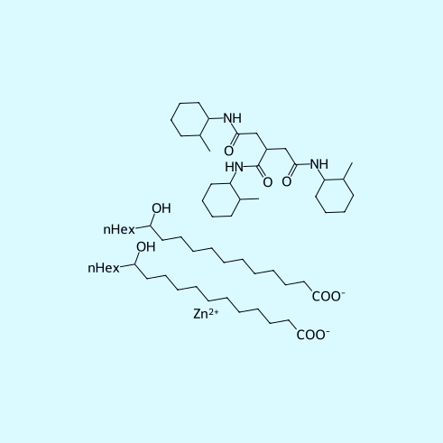 CC1CCCCC1NC(=O)CC(CC(=O)NC1CCCCC1C)C(=O)NC1CCCCC1C.CCCCCCC(O)CCCCCCCCCCC(=O)[O-].CCCCCCC(O)CCCCCCCCCCC(=O)[O-].[Zn+2]